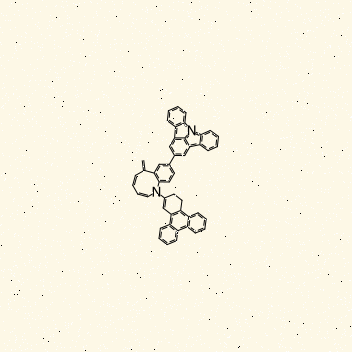 C=C1/C=C\C=C/N(C2=Cc3c(c4ccccc4c4ccccc34)CC2)c2ccc(-c3cc4c5ccccc5n5c6ccccc6c(c3)c45)cc21